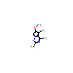 COc1cn2nc(C)nc(C)c2c1C